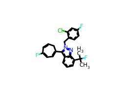 CC(C)(F)c1cccc2c(C3=CC=C(F)C=CC3)n(Cc3ccc(F)cc3Cl)nc12